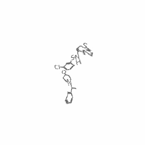 CC(c1ccccc1)N1CCC(Oc2ccc(SNc3cscn3)cc2Cl)CC1